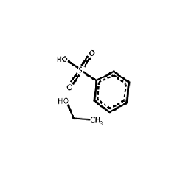 CCO.O=S(=O)(O)c1ccccc1